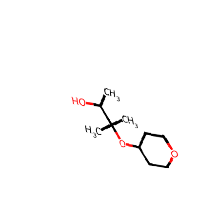 CC(O)C(C)(C)OC1CCOCC1